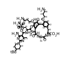 Cc1nc(N2CCC(C(C)(C)C)CC2)nc(N)c1C(=O)N[C@@H](CNS(N)(=O)=O)C(=O)N(C)[C@@H]1C(=O)N[C@@H](C)C(=O)N[C@H](C(=O)O)Cc2ccc(OCCCN)c(c2)-c2cc1cc(OCCCN)c2O